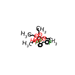 CCCCOC[C@H]1O[C@@](O)(C(F)(F)c2ccccc2Cc2ccc(F)cc2)[C@H](OCCCC)[C@@H](OCCCC)[C@@H]1OCCCC